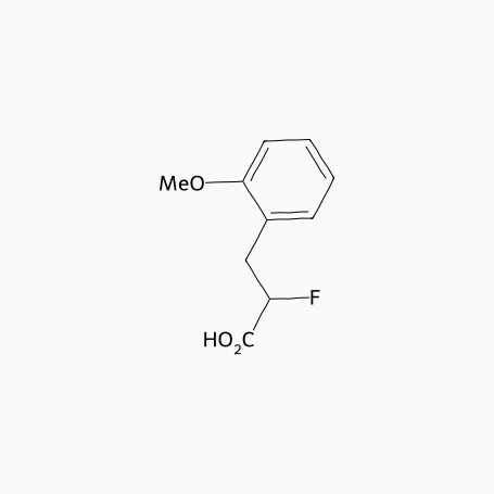 COc1ccccc1CC(F)C(=O)O